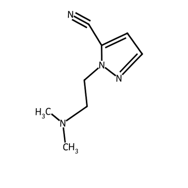 CN(C)CCn1nccc1C#N